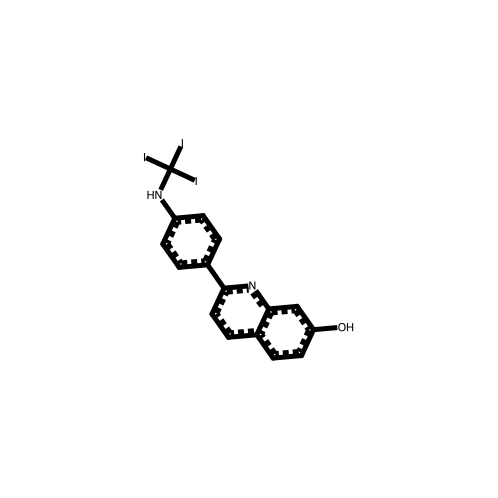 Oc1ccc2ccc(-c3ccc(NC(I)(I)I)cc3)nc2c1